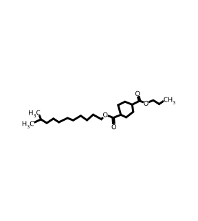 CCCOC(=O)C1CCC(C(=O)OCCCCCCCCCC(C)C)CC1